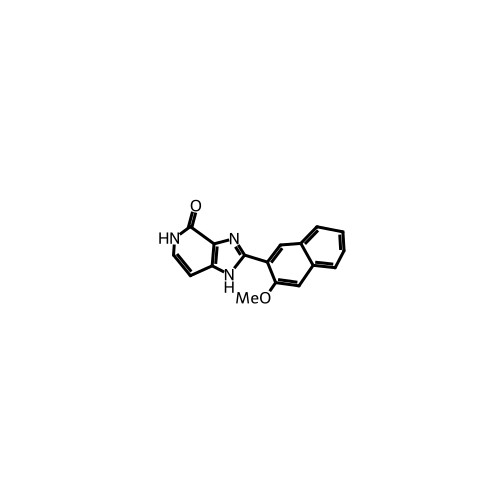 COc1cc2ccccc2cc1-c1nc2c(=O)[nH]ccc2[nH]1